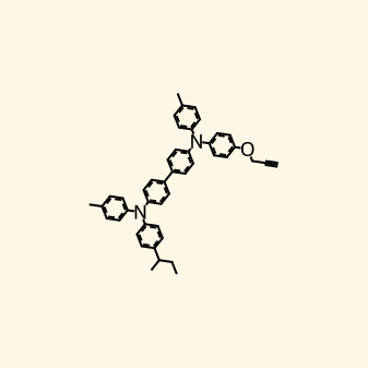 C#CCOc1ccc(N(c2ccc(C)cc2)c2ccc(-c3ccc(N(c4ccc(C)cc4)c4ccc(C(C)CC)cc4)cc3)cc2)cc1